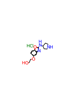 Cl.OCCOc1ccc2oc(NC3CCNCC3)nc2c1